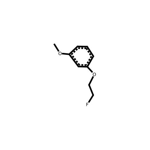 COc1cccc(OCCF)c1